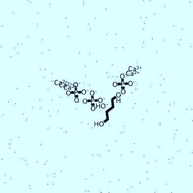 O=P([O-])([O-])[O-].O=P([O-])([O-])[O-].O=P([O-])([O-])[O-].OCCCCO.[Ca+2].[Ca+2].[Ca+2].[Ca+2].[Ca+2].[OH-]